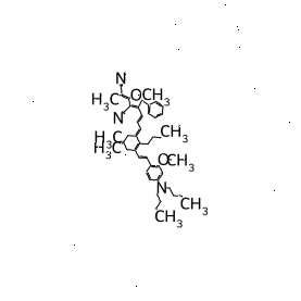 CCCCC1=C(/C=C/c2ccc(N(CCCC)CCCC)cc2OC)CC(C)(C)C/C1=C\C=C\C1=C(C#N)C(=C(\C)C#N)/OC1(C)c1ccccc1